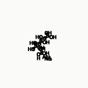 OB(O)O.OB(O)O.OB(O)O.OB(O)O.[AlH3].[Nd]